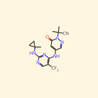 CC1(Nc2ncc(C(F)(F)F)c(Nc3cnn(C(C)(C)C#N)c(=O)c3)n2)CC1